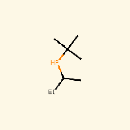 CCC(C)PC(C)(C)C